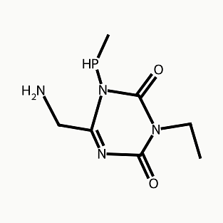 CCn1c(=O)nc(CN)n(PC)c1=O